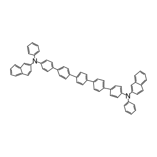 c1ccc(N(c2ccc(-c3ccc(-c4ccc(-c5ccc(-c6ccc(N(c7ccccc7)c7ccc8ccccc8c7)cc6)cc5)cc4)cc3)cc2)c2ccc3ccccc3c2)cc1